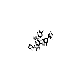 COc1cc(-c2cncn2C)ccc1Nc1cc(Nc2cnc(C)c(C)n2)nc2c1nc(C)n2C1CCCCO1